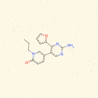 CCCn1cc(-c2cnc(N)nc2-c2ccco2)ccc1=O